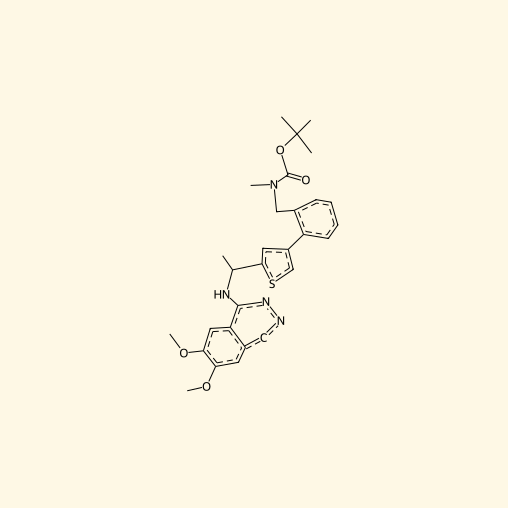 COc1cc2cnnc(NC(C)c3cc(-c4ccccc4CN(C)C(=O)OC(C)(C)C)cs3)c2cc1OC